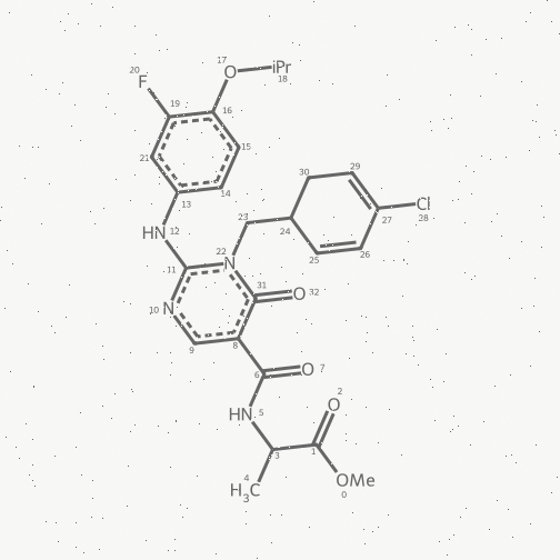 COC(=O)C(C)NC(=O)c1cnc(Nc2ccc(OC(C)C)c(F)c2)n(CC2C=CC(Cl)=CC2)c1=O